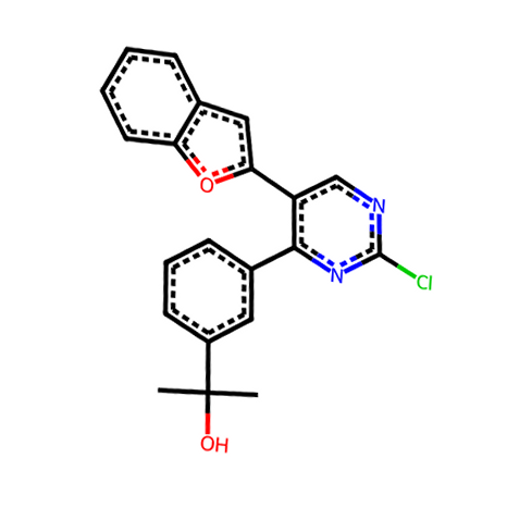 CC(C)(O)c1cccc(-c2nc(Cl)ncc2-c2cc3ccccc3o2)c1